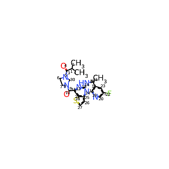 CC(C)C(=O)N1CCN(C(=O)c2nc(N[C@@H](C)c3cncc(F)c3)nc3ccsc23)C1